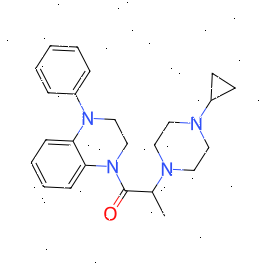 CC(C(=O)N1CCN(c2ccccc2)c2ccccc21)N1CCN(C2CC2)CC1